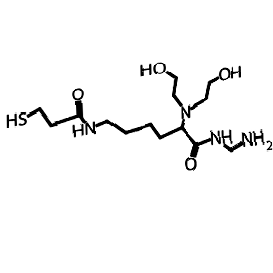 NCNC(=O)C(CCCCNC(=O)CCS)N(CCO)CCO